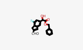 O=CC1=Cc2cc(C(O)C(=O)OCc3ccccc3)cc(F)c2C1